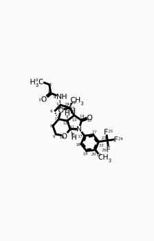 CCC(=O)N[C@H]1C[C@@]23CCO[C@H]4[C@@H]2[C@H](C(=O)N4c2ccc(C)c(C(F)(F)F)c2)[C@]1(C)O3